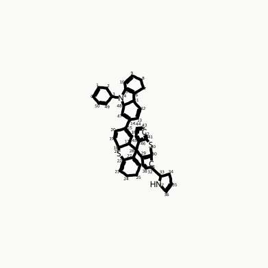 C1=CCC(N2C3=C(CCC=C3)C3C=CC(C4=CC5C(C=C4)SC4=CCCC=C4C54C5=C(CC(C6CC=CN6)C=C5)Sc5ccccc54)=CC32)C=C1